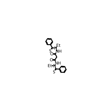 CCN(NC(=O)CC(=O)NN(CC)C(=S)c1ccccc1)C(=S)c1ccccc1